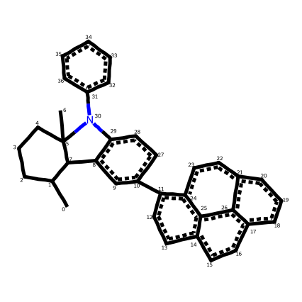 CC1CCCC2(C)C1c1cc(-c3ccc4ccc5cccc6ccc3c4c56)ccc1N2c1ccccc1